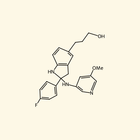 COc1cncc(NC2(c3ccc(F)cc3)Cc3cc(CCCO)ccc3N2)c1